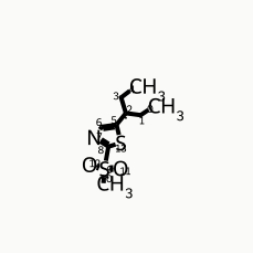 CC[C](CC)c1cnc(S(C)(=O)=O)s1